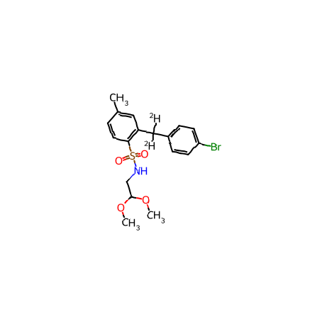 [2H]C([2H])(c1ccc(Br)cc1)c1cc(C)ccc1S(=O)(=O)NCC(OC)OC